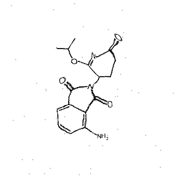 CC(C)OC1=NC(=O)CCC1N1C(=O)c2cccc(N)c2C1=O